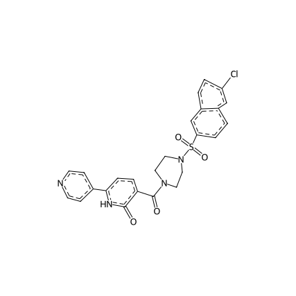 O=C(c1ccc(-c2ccncc2)[nH]c1=O)N1CCN(S(=O)(=O)c2ccc3cc(Cl)ccc3c2)CC1